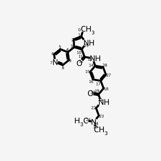 Cc1cc(-c2ccncc2)c(C(=O)Nc2ccc(CC(=O)NCCN(C)C)cc2)[nH]1